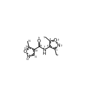 Cc1noc(C)c1NC(=O)c1cnoc1C